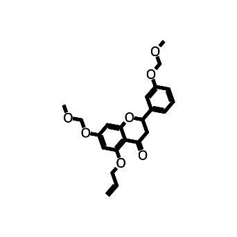 C=CCOc1cc(OCOC)cc2c1C(=O)CC(c1cccc(OCOC)c1)O2